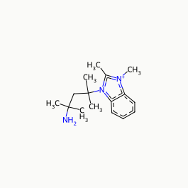 Cc1n(C(C)(C)CC(C)(C)N)c2ccccc2[n+]1C